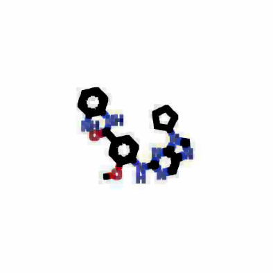 COc1cc(C(=O)Nc2ccccc2N)ccc1Nc1ncc2ncn(C3CCCC3)c2n1